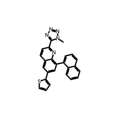 Cn1nnnc1-c1ccc2cc(-c3cccs3)cc(-c3cccc4ccccc34)c2n1